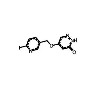 O=c1cc(OCc2ccc(I)nc2)cn[nH]1